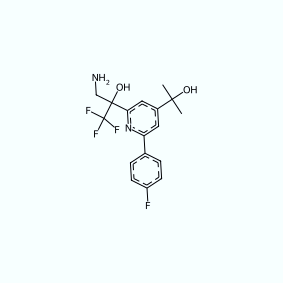 CC(C)(O)c1cc(-c2ccc(F)cc2)nc(C(O)(CN)C(F)(F)F)c1